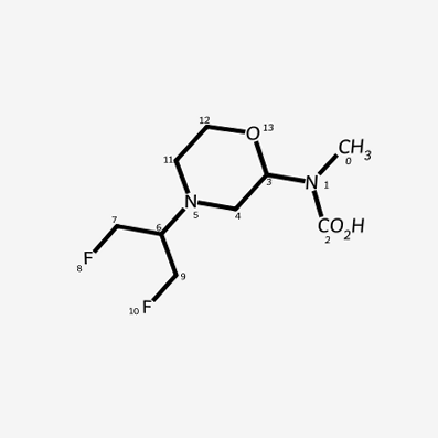 CN(C(=O)O)C1CN(C(CF)CF)CCO1